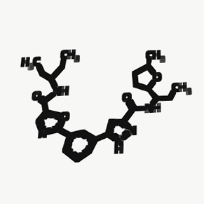 CCC(CC)NC(=O)c1cnc(-c2cccc(-c3cc(C(=O)NC(CC)[C@H]4CC[C@@H](C)O4)n[nH]3)c2)o1